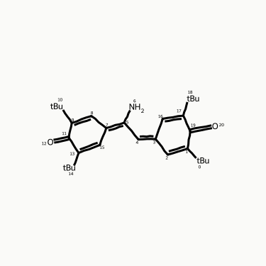 CC(C)(C)C1=CC(=CC(N)=C2C=C(C(C)(C)C)C(=O)C(C(C)(C)C)=C2)C=C(C(C)(C)C)C1=O